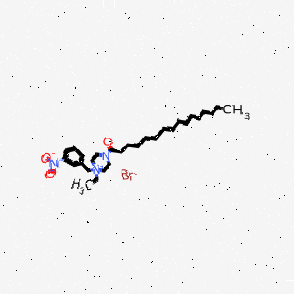 CCCCCCCCCCCCCCCC(=O)N1CC[N+](CC)(Cc2cccc([N+](=O)[O-])c2)CC1.[Br-]